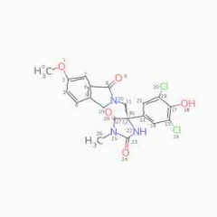 COc1ccc2c(c1)C(=O)N(C[C@@]1(c3cc(Cl)c(O)c(Cl)c3)NC(=O)N(C)C1=O)C2